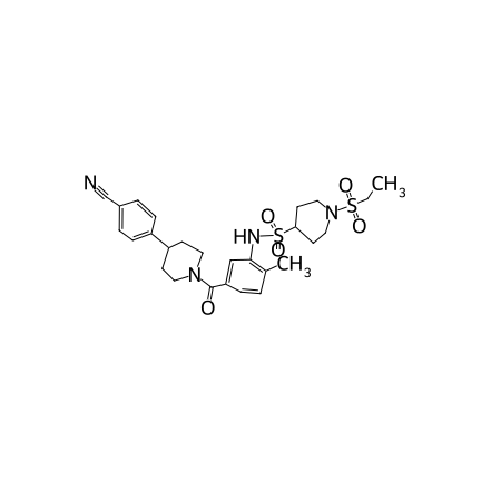 CCS(=O)(=O)N1CCC(S(=O)(=O)Nc2cc(C(=O)N3CCC(c4ccc(C#N)cc4)CC3)ccc2C)CC1